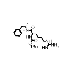 C[C@@H](Cc1ccccc1)NC(=O)[C@H](CCCCNC(=N)N)NC(=O)OC(C)(C)C